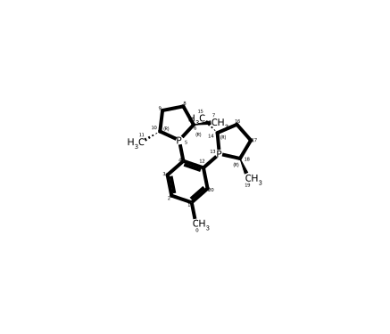 Cc1ccc(P2[C@H](C)CC[C@H]2C)c(P2[C@H](C)CC[C@H]2C)c1